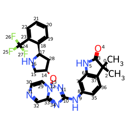 CC1(C)C(=O)Nc2cc(NC3=N[N+]4(O[C@@H]5CN[C@@H](c6ccccc6C(F)(F)F)C5)C=CN=CC4=N3)ccc21